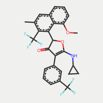 COc1cccc2cc(C)c(C(F)(F)F)c(C3OC(NC4CC4)=C(c4cccc(C(F)(F)F)c4)C3=O)c12